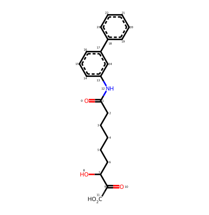 O=C(CCCCCC(O)C(=O)C(=O)O)Nc1cccc(-c2ccccc2)c1